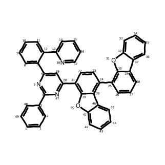 c1ccc(-c2nc(-c3ccccc3-c3ccccn3)cc(-c3ccc(-c4cccc5c4oc4ccccc45)c4c3oc3ccccc34)n2)cc1